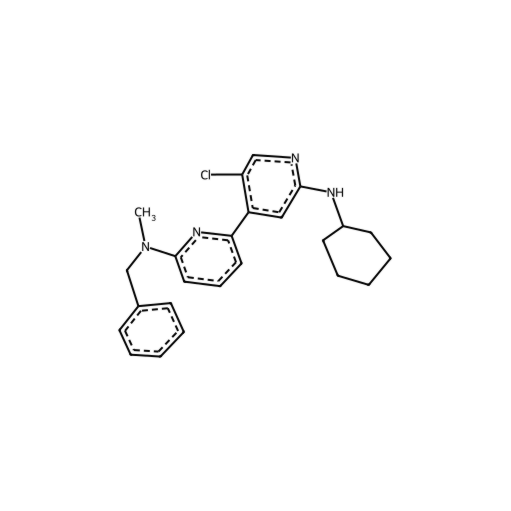 CN(Cc1ccccc1)c1cccc(-c2cc(NC3CCCCC3)ncc2Cl)n1